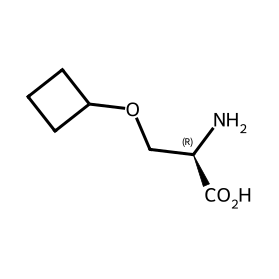 N[C@H](COC1CCC1)C(=O)O